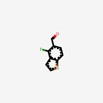 O=Cc1ccc2sccc2c1F